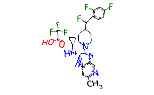 Cc1cc2nc(NC3CC3)c(N3CCC(C(F)c4ccc(F)cc4F)CC3)nc2cn1.O=C(O)C(F)(F)F